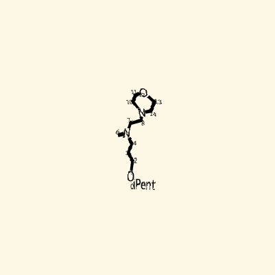 CCCC(C)OCCCN(C)CCN1CCOCC1